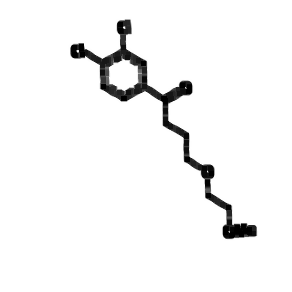 COCCOCCCC(=O)c1ccc(Cl)c(Cl)c1